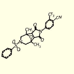 CC12CN(S(=O)(=O)c3ccccc3)CC(C)(O1)C1C(=O)N(c3ccc(C#N)c(C(F)(F)F)c3)C(=O)C12